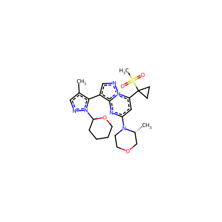 Cc1cnn(C2CCCCO2)c1-c1cnn2c(C3(S(C)(=O)=O)CC3)cc(N3CCOC[C@H]3C)nc12